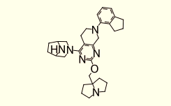 c1cc2c(c(N3CCc4c(nc(OCC56CCCN5CCC6)nc4N4CC5CCC(C4)N5)C3)c1)CCC2